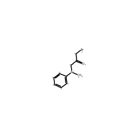 CN(CC(=O)CBr)c1ccccc1